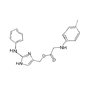 Cc1ccc(NCC(=O)OCc2c[nH]c(Nc3ccccc3)n2)cc1